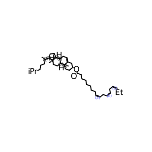 CC/C=C\C/C=C\C/C=C\CCCCCCCC(=O)OC1CC[C@@]2(C)C(=CC[C@H]3[C@@H]4CC[C@H]([C@H](C)CCCC(C)C)[C@@]4(C)CC[C@@H]32)C1